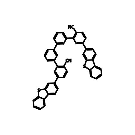 N#Cc1ccc(-c2ccc3c(c2)sc2ccccc23)cc1-c1cccc(-c2cccc(-c3cc(-c4ccc5c(c4)sc4ccccc45)ccc3C#N)c2)c1